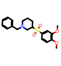 COc1ccc(S(=O)(=O)C2CCCN(Cc3ccccc3)C2)cc1OC